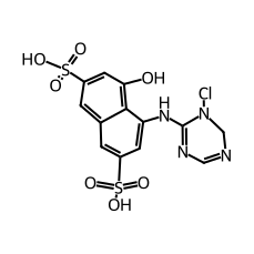 O=S(=O)(O)c1cc(O)c2c(NC3=NC=NCN3Cl)cc(S(=O)(=O)O)cc2c1